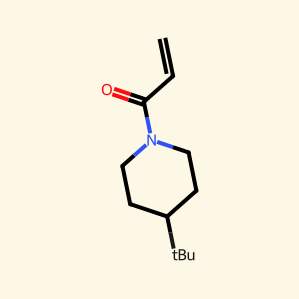 C=CC(=O)N1CCC(C(C)(C)C)CC1